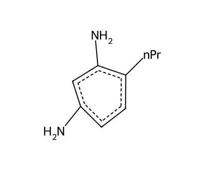 [CH2]CCc1ccc(N)cc1N